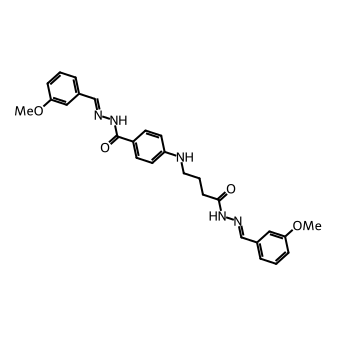 COc1cccc(C=NNC(=O)CCCNc2ccc(C(=O)NN=Cc3cccc(OC)c3)cc2)c1